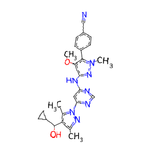 COc1c(Nc2cc(-n3nc(C)c(C(O)C4CC4)c3C)ncn2)nn(C)c1-c1ccc(C#N)cc1